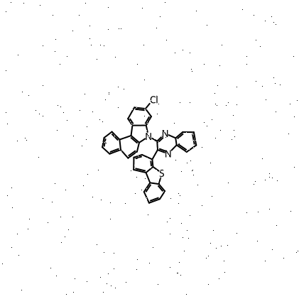 Clc1ccc2c3c4ccccc4ccc3n(-c3nc4ccccc4nc3-c3cccc4c3sc3ccccc34)c2c1